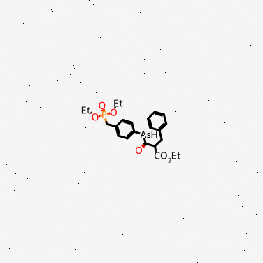 CCOC(=O)C(Cc1ccccc1)C(=O)[AsH]c1ccc(CP(=O)(OCC)OCC)cc1